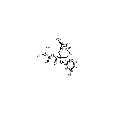 CC1S[C@@H]2CC(=O)N2CC1(Oc1cccc(F)c1)C(=O)OC(F)C(F)F